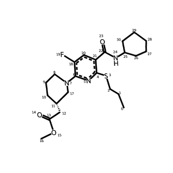 CCCSc1nc(N2CCC[C@@H](CC(=O)OC)C2)c(F)cc1C(=O)NC1CCCCC1